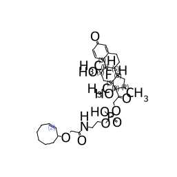 C[C@@H]1C[C@H]2[C@@H]3CCC4=CC(=O)C=C[C@]4(C)[C@@]3(F)[C@@H](O)C[C@]2(C)[C@@]1(O)C(=O)COP(=O)(O)OCCNC(=O)COC1/C=C\CCCCC1